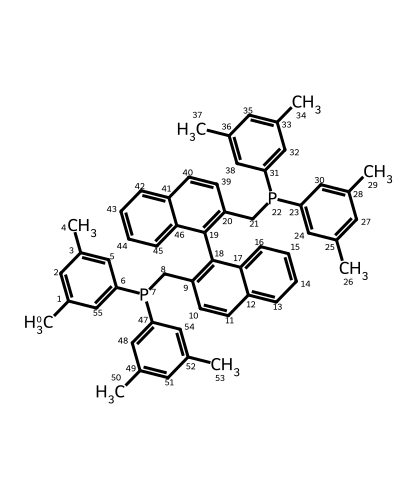 Cc1cc(C)cc(P(Cc2ccc3ccccc3c2-c2c(CP(c3cc(C)cc(C)c3)c3cc(C)cc(C)c3)ccc3ccccc23)c2cc(C)cc(C)c2)c1